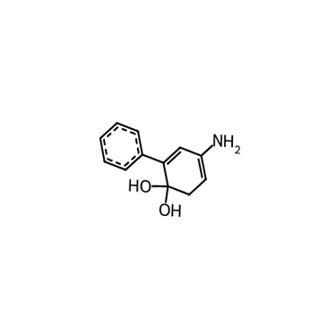 NC1=CCC(O)(O)C(c2ccccc2)=C1